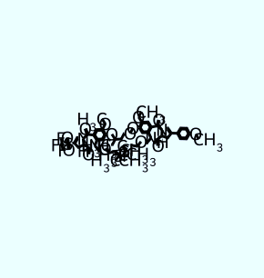 CCC(CCOOc1cc2c(cc1OC)C(=O)N1C=C(c3ccc(OC)cc3)C[C@H]1C(=O)N2COCC[Si](C)(C)C)Oc1cc2c(cc1OC)C(=O)N1C=C(S(=O)(=O)C(F)(F)F)C[C@H]1C(=O)N2COCC[Si](C)(C)C